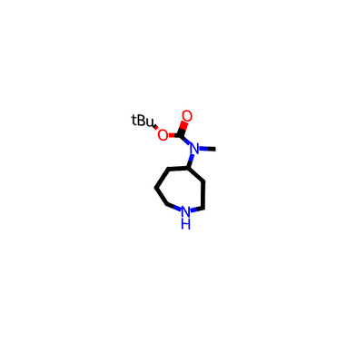 CN(C(=O)OC(C)(C)C)C1CCCNCC1